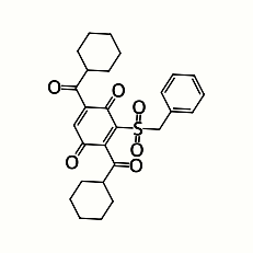 O=C1C=C(C(=O)C2CCCCC2)C(=O)C(S(=O)(=O)Cc2ccccc2)=C1C(=O)C1CCCCC1